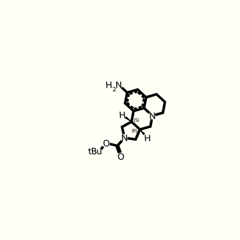 CC(C)(C)OC(=O)N1C[C@H]2CN3CCCc4cc(N)cc(c43)[C@H]2C1